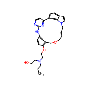 CCCN(CCO)CCOc1ccc2cc1COC/C=C/Cn1ccc3ccc(cc31)-c1ccnc(n1)N2